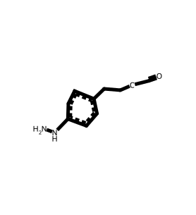 NNc1ccc(CCCC=O)cc1